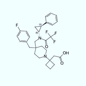 O=C(O)CC1(N2CCC(Cc3ccc(F)cc3)(CN(C(=O)C(F)(F)F)[C@@H]3C[C@H]3c3ccccc3)CC2)CCC1